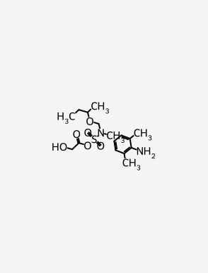 CCC(C)OCN(C)S(=O)(=O)OC(=O)CO.Cc1cccc(C)c1N